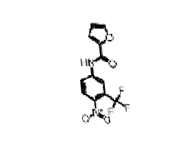 O=C(Nc1ccc([N+](=O)[O-])c(C(F)(F)F)c1)c1ccco1